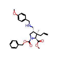 C=CC[C@]1(C)[C@@H](CNCc2ccc(OC)cc2)CN(C(=O)OCc2ccccc2)[C@@H]1C(=O)OC